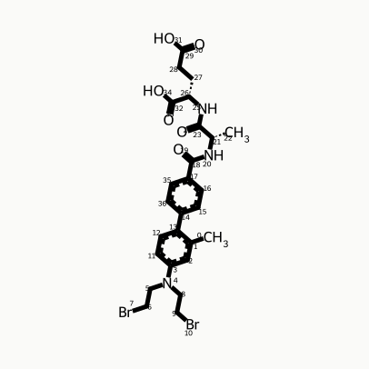 Cc1cc(N(CCBr)CCBr)ccc1-c1ccc(C(=O)N[C@@H](C)C(=O)N[C@@H](CCC(=O)O)C(=O)O)cc1